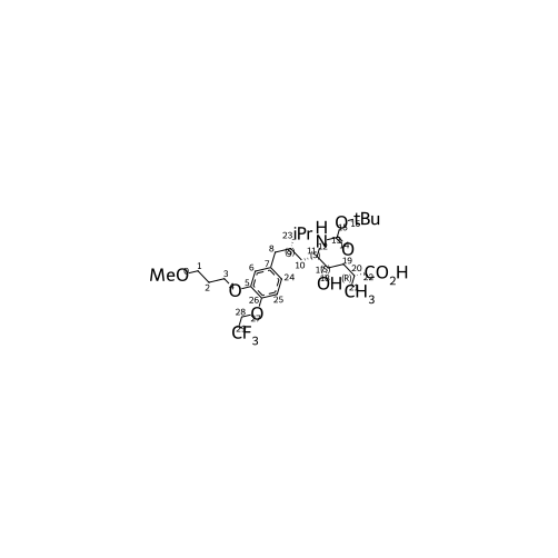 COCCCOc1cc(C[C@@H](C[C@H](NC(=O)OC(C)(C)C)[C@@H](O)C[C@@H](C)C(=O)O)C(C)C)ccc1OCC(F)(F)F